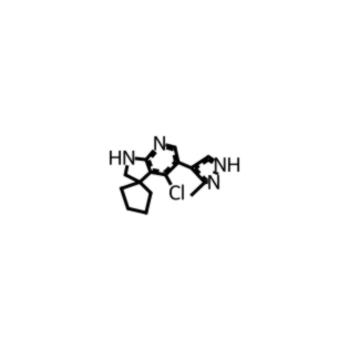 Cc1n[nH]cc1-c1cnc2c(c1Cl)C1(CCCC1)CN2